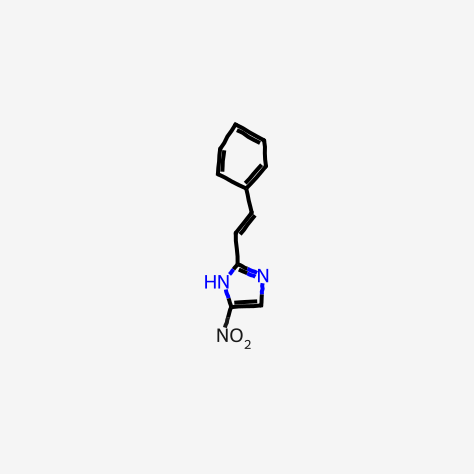 O=[N+]([O-])c1cnc(C=Cc2ccccc2)[nH]1